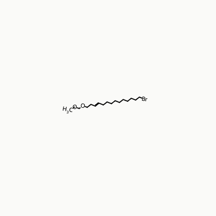 COCOCCC=CCCCCCCCCCCBr